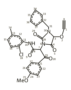 C#COC1C(=O)N(C(C(=O)Nc2cc(C)ccc2Cl)C(=O)c2ccc(OC)cc2)C(=O)N1Cc1ccccc1